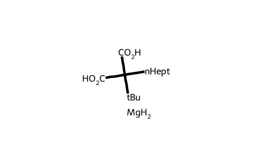 CCCCCCCC(C(=O)O)(C(=O)O)C(C)(C)C.[MgH2]